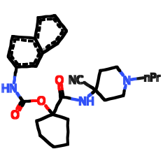 CCCN1CCC(C#N)(NC(=O)C2(OC(=O)Nc3ccc4ccccc4c3)CCCCC2)CC1